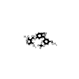 COc1cc(OC(F)(F)F)cc(-c2n[nH]c3ccc(O[C@H](C)c4c(C)cnnc4C)cc23)c1